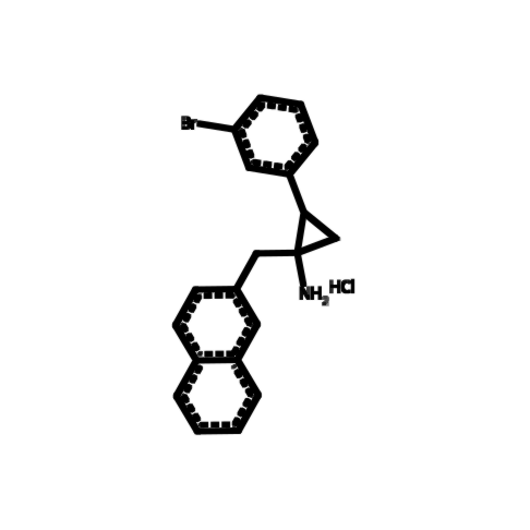 Cl.NC1(Cc2ccc3ccccc3c2)CC1c1cccc(Br)c1